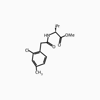 COC(=O)[C@@H](NC(=O)Cc1ccc(C)cc1Cl)C(C)C